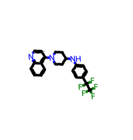 FC(F)(F)C(F)(F)c1ccc(NC2CCN(c3[c]cnc4ccccc34)CC2)cc1